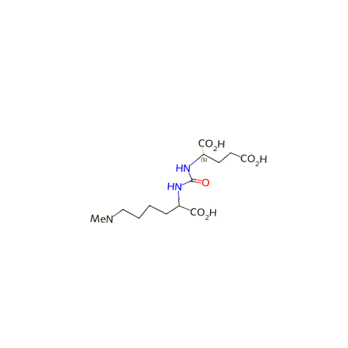 CNCCCCC(NC(=O)N[C@@H](CCC(=O)O)C(=O)O)C(=O)O